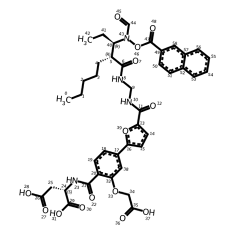 CCCCC[C@@H](C(=O)NCNC(=O)c1ccc(-c2ccc(C(=O)N[C@@H](CC(=O)O)C(=O)O)c(OCC(=O)O)c2)o1)[C@@H](CC)N(C=O)OC(=O)c1ccc2ccccc2c1